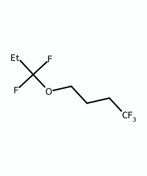 CCC(F)(F)OCCCC(F)(F)F